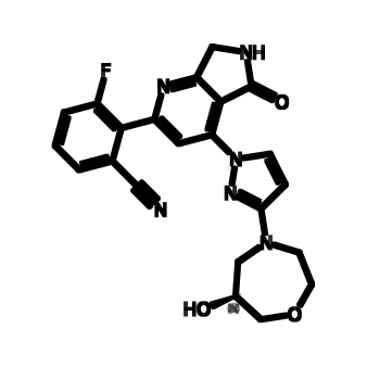 N#Cc1cccc(F)c1-c1cc(-n2ccc(N3CCOC[C@@H](O)C3)n2)c2c(n1)CNC2=O